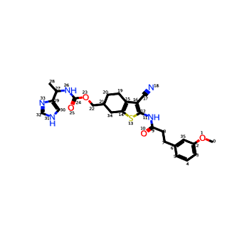 COc1cccc(CCC(=O)Nc2sc3c(c2C#N)CCC(COC(=O)NC(C)c2c[nH]cn2)C3)c1